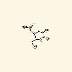 N=C(N)N[C@H]1C[C@@H](O)[C@@H](O)OC1CO